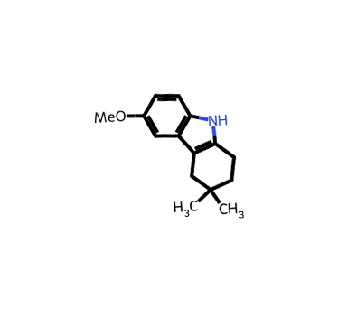 COc1ccc2[nH]c3c(c2c1)CC(C)(C)CC3